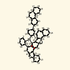 c1ccc(N(c2ccc(-c3ccc4c(ccc5ccccc54)c3)cc2)c2cccc3oc4c5ccccc5ccc4c23)c(-c2ccc3c(c2)sc2ccccc23)c1